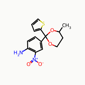 CC1CCOC(c2ccc(N)c([N+](=O)[O-])c2)(c2cccs2)O1